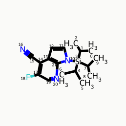 CC(C)[Si](C(C)C)(C(C)C)n1ccc2c(C#N)c(F)cnc21